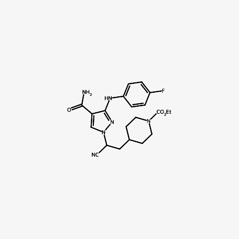 CCOC(=O)N1CCC(CC(C#N)n2cc(C(N)=O)c(Nc3ccc(F)cc3)n2)CC1